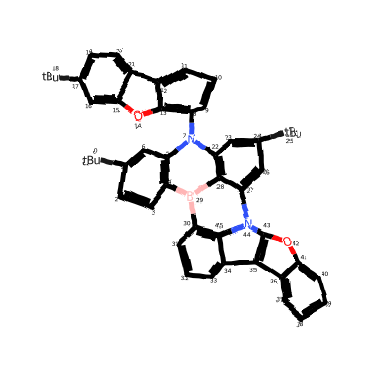 CC(C)(C)c1ccc2c(c1)N(c1cccc3c1oc1cc(C(C)(C)C)ccc13)c1cc(C(C)(C)C)cc3c1B2c1cccc2c4c5ccccc5oc4n-3c12